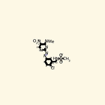 CNc1nc(/N=N/c2ccc(Cl)c(CNS(C)(=O)=O)c2)ncc1[N+](=O)[O-]